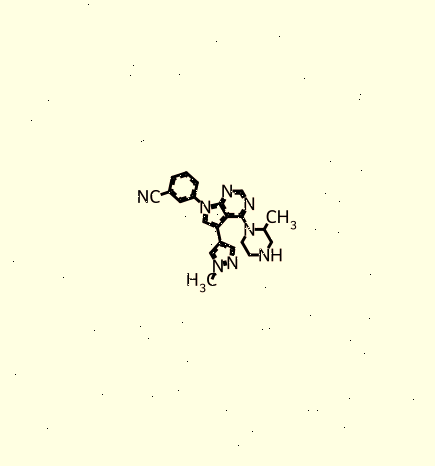 CC1CNCCN1c1ncnc2c1c(-c1cnn(C)c1)cn2-c1cccc(C#N)c1